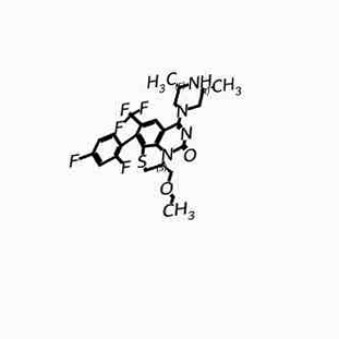 CCOC[C@H]1CSc2c(-c3ccc(F)cc3F)c(C(F)(F)F)cc3c(N4C[C@@H](C)N[C@@H](C)C4)nc(=O)n1c23